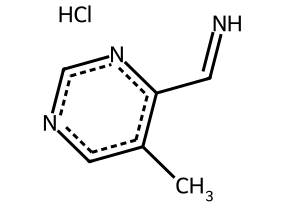 Cc1cncnc1C=N.Cl